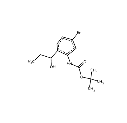 CCC(O)c1ccc(Br)cc1NC(=O)OC(C)(C)C